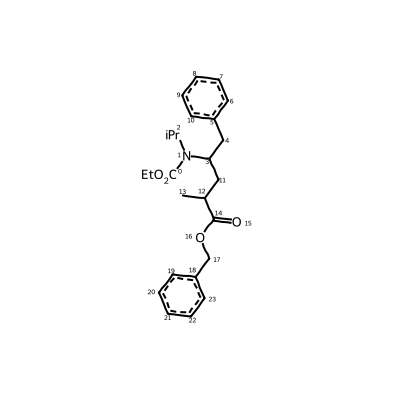 CCOC(=O)N(C(C)C)C(Cc1ccccc1)CC(C)C(=O)OCc1ccccc1